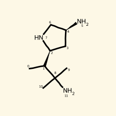 CC([C@@H]1C[C@H](N)CN1)C(C)(C)N